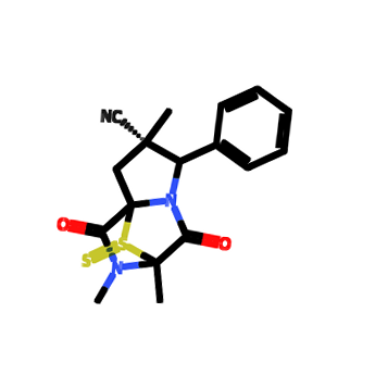 CN1C(=O)C23C[C@](C)(C#N)C(c4ccccc4)N2C(=O)C1(C)S3=S